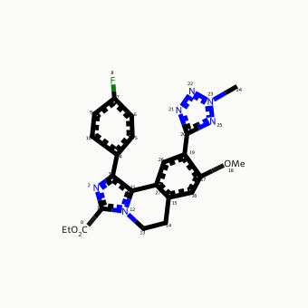 CCOC(=O)c1nc(-c2ccc(F)cc2)c2n1CCc1cc(OC)c(-c3nnn(C)n3)cc1-2